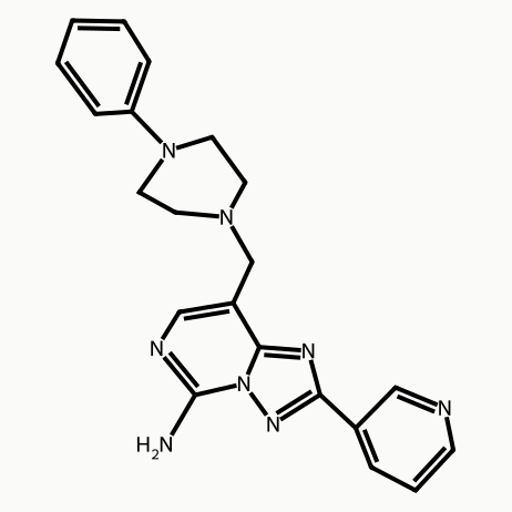 Nc1ncc(CN2CCN(c3ccccc3)CC2)c2nc(-c3cccnc3)nn12